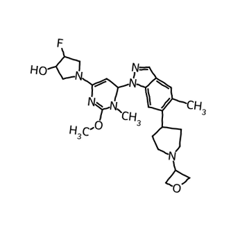 COC1=NC(N2CC(O)C(F)C2)=CC(n2ncc3cc(C)c(C4CCN(C5COC5)CC4)cc32)N1C